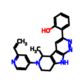 C=Cc1cc(N2CCc3[nH]c4nnc(-c5ccccc5O)cc4c3C2C)ccn1